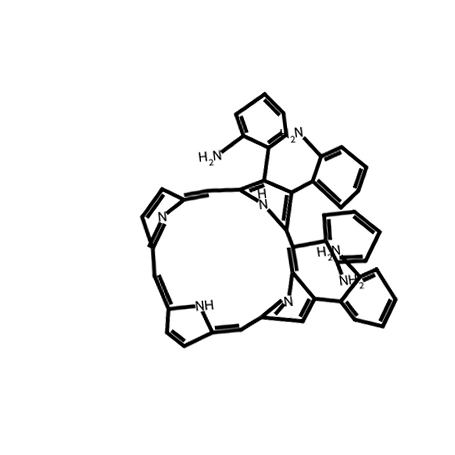 Nc1ccccc1C1=Cc2cc3ccc(cc4nc(cc5[nH]c(c(-c6ccccc6N)c1n2)c(-c1ccccc1N)c5-c1ccccc1N)C=C4)[nH]3